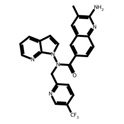 Cc1cc2cc(C(=O)N(Cc3ccc(C(F)(F)F)cn3)n3ccc4cccnc43)ccc2nc1N